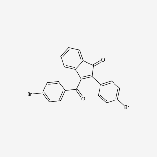 O=C(C1=C(c2ccc(Br)cc2)C(=O)c2ccccc21)c1ccc(Br)cc1